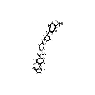 O=C(NC1CCC(=Cc2cccc(Oc3ccc(C(F)(F)F)cn3)c2)CC1)c1ccc(N2CCCC2=O)nc1